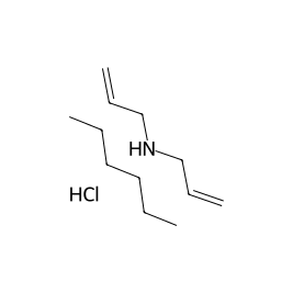 C=CCNCC=C.CCCCCC.Cl